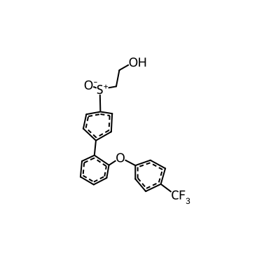 [O-][S+](CCO)c1ccc(-c2ccccc2Oc2ccc(C(F)(F)F)cc2)cc1